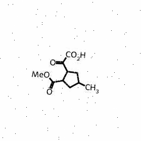 COC(=O)C1CC(C)CC1C(=O)C(=O)O